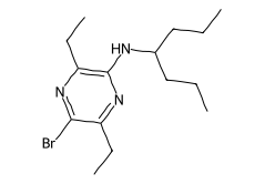 CCCC(CCC)Nc1nc(CC)c(Br)nc1CC